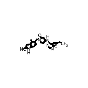 Cc1c(Cn2ccc(Nc3ncnc4sc(CC(F)(F)F)cc34)cc2=O)ccc2[nH]c(C#N)cc12